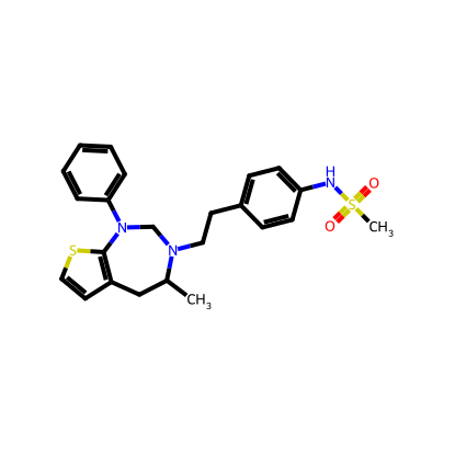 CC1Cc2ccsc2N(c2ccccc2)CN1CCc1ccc(NS(C)(=O)=O)cc1